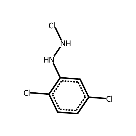 ClNNc1cc(Cl)ccc1Cl